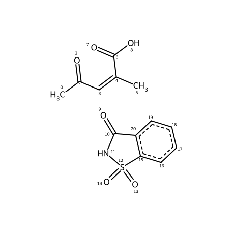 CC(=O)C=C(C)C(=O)O.O=C1NS(=O)(=O)c2ccccc21